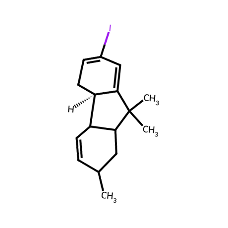 CC1C=CC2C(C1)C(C)(C)C1=CC(I)=CC[C@@H]12